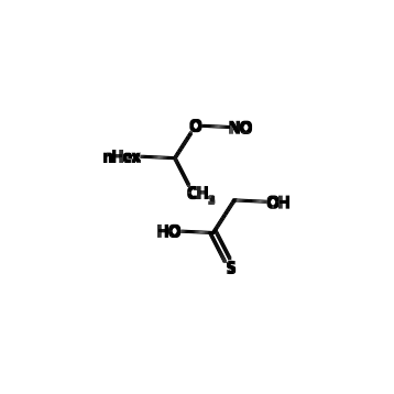 CCCCCCC(C)ON=O.OCC(O)=S